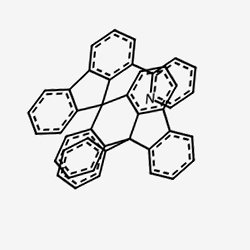 c1ccc(C23c4ccccc4-c4cccc(c42)C2(c4ccccc4-c4cccc(-c5ccccn5)c42)c2ccccc23)cc1